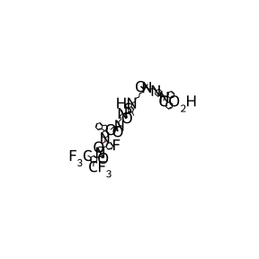 Cc1cc(NCCCCCC(=O)N(C)CCN2CCC(N(C(=O)O)c3ccccc3-c3ccccc3)CC2)sc1C(=O)N(C)CCCN(C)C(=O)CO[C@H]1Cc2ccccc2C12CCN(CC[C@]1(c3ccc(F)cc3)CN(C(=O)c3cc(C(F)(F)F)cc(C(F)(F)F)c3)CO1)CC2